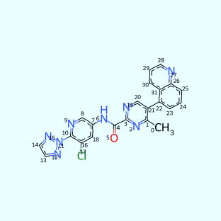 Cc1nc(C(=O)Nc2cnc(-n3nccn3)c(Cl)c2)ncc1-c1cccc2ncccc12